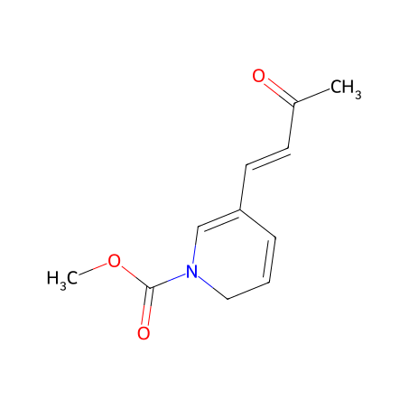 COC(=O)N1C=C(/C=C/C(C)=O)C=CC1